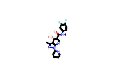 Cc1nn(-c2ccccn2)c2ncc(C(=O)Nc3ccc(F)c(F)c3)c(O)c12